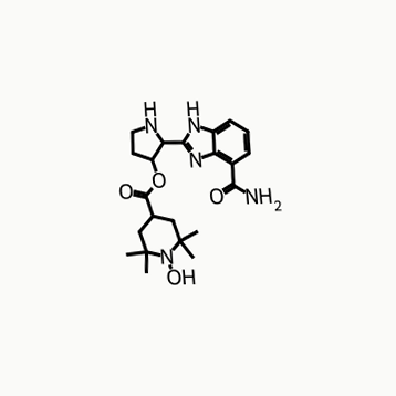 CC1(C)CC(C(=O)OC2CCNC2c2nc3c(C(N)=O)cccc3[nH]2)CC(C)(C)N1O